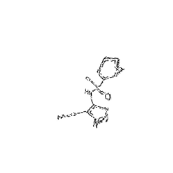 COc1nsnc1NS(=O)(=O)c1ccccc1